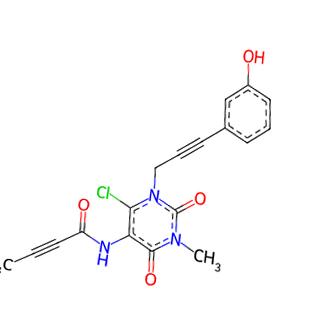 CC#CC(=O)Nc1c(Cl)n(CC#Cc2cccc(O)c2)c(=O)n(C)c1=O